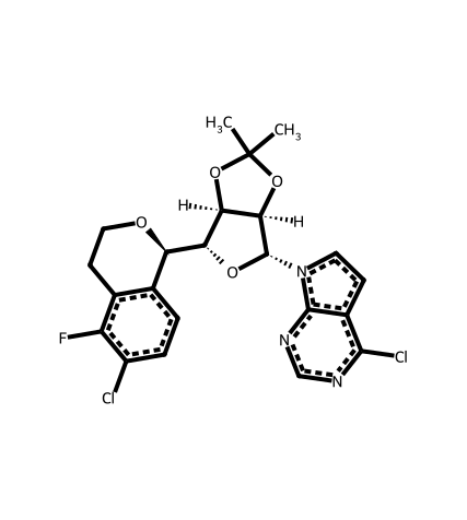 CC1(C)O[C@H]2[C@@H](O1)[C@H](n1ccc3c(Cl)ncnc31)O[C@@H]2[C@@H]1OCCc2c1ccc(Cl)c2F